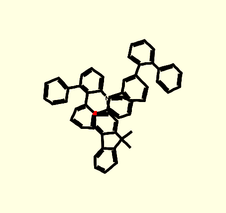 CC1(C)c2ccccc2-c2ccc(N(c3cccc(-c4ccccc4-c4ccccc4)c3)c3cccc(-c4ccccc4)c3-c3ccccc3-c3ccccc3)cc21